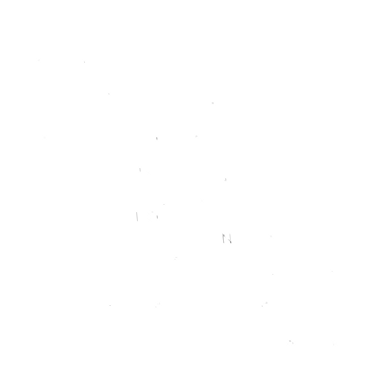 O=C(O)C(c1ccccc1OCc1ccccc1)N(Cc1ccccc1)Cc1ccccc1